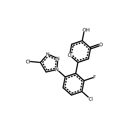 O=c1cc(-c2c(-n3cc(Cl)nn3)ccc(Cl)c2F)occ1O